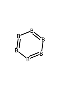 b1bbbbb1